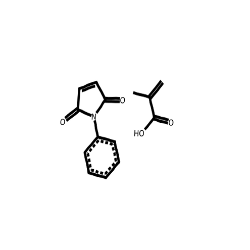 C=C(C)C(=O)O.O=C1C=CC(=O)N1c1ccccc1